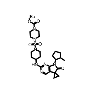 CC1CCCC1N1C(=O)C2(CC2)c2cnc(NC3CCN(S(=O)(=O)N4CCN(C(=O)OC(C)(C)C)CC4)CC3)nc21